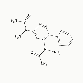 NC(=O)N(N)c1nnc(-c2ccccc2)c(N(N)C(N)=O)n1